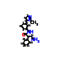 Cn1nccc1-c1cccc(NC(=O)C(CN)c2ccccc2)c1